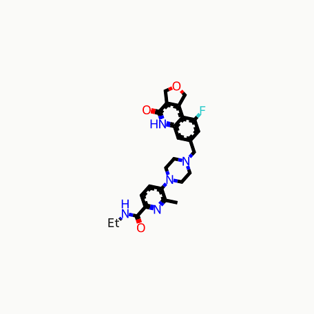 CCNC(=O)c1ccc(N2CCN(Cc3cc(F)c4c5c(c(=O)[nH]c4c3)COC5)CC2)c(C)n1